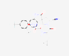 CN(C(=O)C(=O)Nc1ccc(C(F)(F)F)cc1C(F)(F)F)[C@@H](CC1CC1)C(=O)N1CC2(C[C@H]1C#N)C(=O)Nc1ccccc12